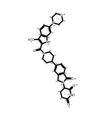 Cc1c(C(=O)N2CCC(c3ccc4c(c3)CN(C3CCC(=O)NC3=O)C4=O)CC2)[nH]c2cc(N3CCOCC3)ccc12